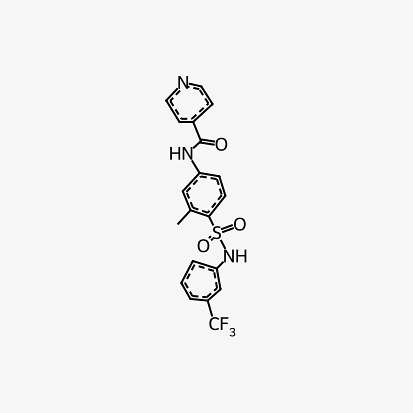 Cc1cc(NC(=O)c2ccncc2)ccc1S(=O)(=O)Nc1cccc(C(F)(F)F)c1